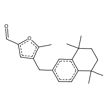 Cc1oc(C=O)cc1Cc1ccc2c(c1)C(C)(C)CCC2(C)C